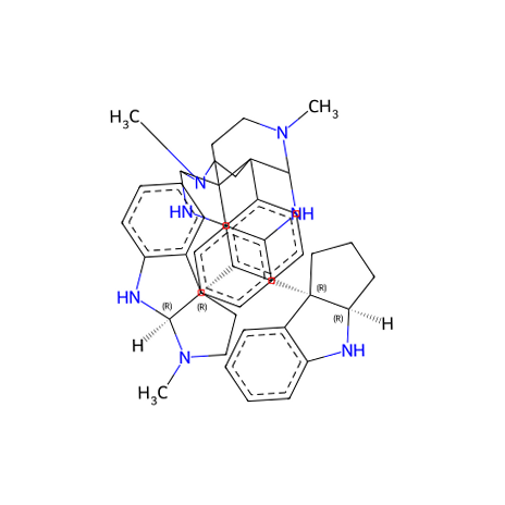 CN1CCC23c4cccc([C@]56CCC[C@H]5Nc5ccccc56)c4NC1C21CCN(C)C3Nc2c1cccc2[C@]12CCN(C)[C@H]1Nc1ccccc12